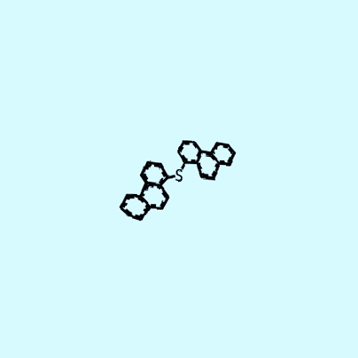 c1ccc2c(c1)ccc1c(Sc3cccc4c3ccc3ccccc34)cccc12